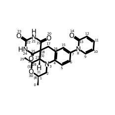 C[C@@H]1CN2c3ccc(-n4ccccc4=O)cc3CC3(C(=O)NC(=O)NC3=O)[C@H]2[C@H](C)O1